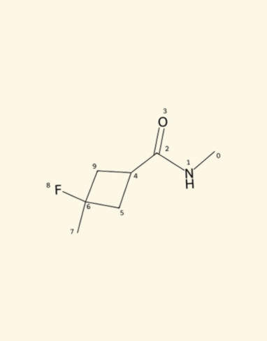 CNC(=O)C1CC(C)(F)C1